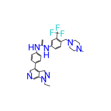 C=C(Nc1ccc(-c2cncc3c2cnn3CC)cc1)Nc1ccc(CN2CCN(C)CC2)c(C(F)(F)F)c1